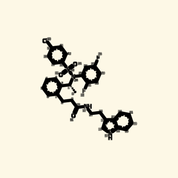 C[C@H](c1ccccc1CCC(=O)NCCc1c[nH]c2ccccc12)N(c1cc(F)ccc1F)S(=O)(=O)c1ccc(Cl)cc1